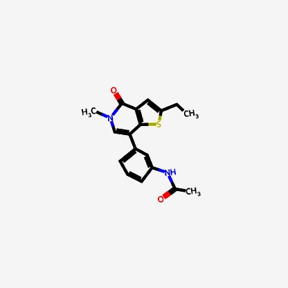 CCc1cc2c(=O)n(C)cc(-c3cccc(NC(C)=O)c3)c2s1